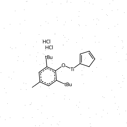 Cc1cc(C(C)(C)C)c([O][Ti][C]2=CC=CC2)c(C(C)(C)C)c1.Cl.Cl